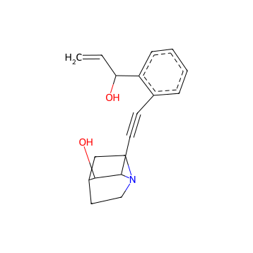 C=CC(O)c1ccccc1C#CC1C(O)C2CCN1CC2